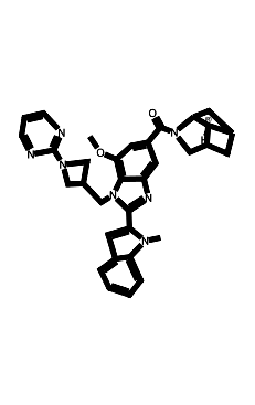 COc1cc(C(=O)N2CC3CC4CC2[C@H]43)cc2nc(-c3cc4ccccc4n3C)n(CC3CN(c4ncccn4)C3)c12